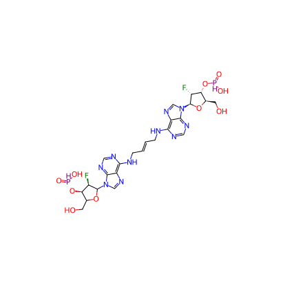 O=[PH](O)O[C@H]1[C@@H](F)[C@H](n2cnc3c(NC/C=C/CNc4ncnc5c4ncn5C4OC(CO)[C@@H](O[PH](=O)O)[C@H]4F)ncnc32)O[C@@H]1CO